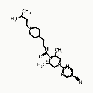 CC(C)CCN1CCC(CCNC(=O)N2[C@H](C)CN(c3ncc(C#N)cn3)C[C@@H]2C)CC1